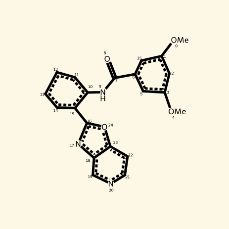 COc1cc(OC)cc(C(=O)Nc2ccccc2-c2nc3cnccc3o2)c1